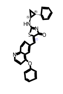 O=C1N=C(N[C@H]2C[C@@H]2c2ccccc2)S/C1=C\c1ccc2nccc(Oc3ccccc3)c2c1